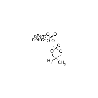 CCCCCOP(=O)(OCCCCC)OCP1(=O)OCC(C)(C)CO1